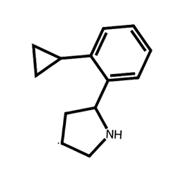 [CH]1CNC(c2ccccc2C2CC2)C1